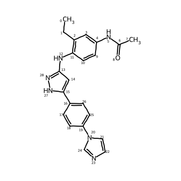 CCc1cc(NC(C)=O)ccc1Nc1cc(-c2ccc(-n3ccnc3)cc2)[nH]n1